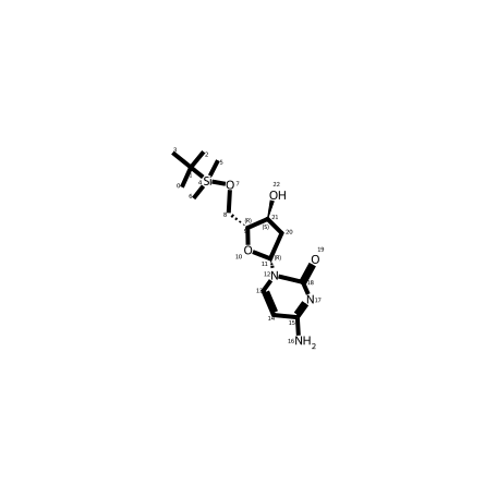 CC(C)(C)[Si](C)(C)OC[C@H]1O[C@@H](n2ccc(N)nc2=O)C[C@@H]1O